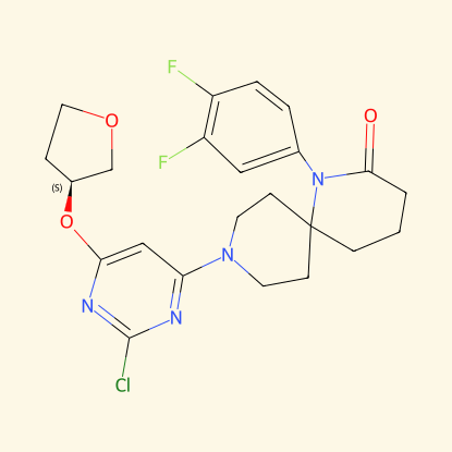 O=C1CCCC2(CCN(c3cc(O[C@H]4CCOC4)nc(Cl)n3)CC2)N1c1ccc(F)c(F)c1